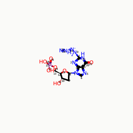 Nc1nc2c(ncn2[C@H]2C[C@H](O)[C@@H](COP(=O)(O)O)O2)c(=O)[nH]1.[N-]=[N+]=[N-]